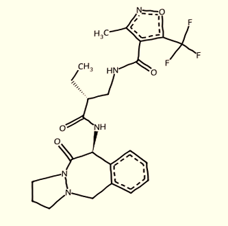 CC[C@H](CNC(=O)c1c(C)noc1C(F)(F)F)C(=O)N[C@@H]1C(=O)N2CCCN2Cc2ccccc21